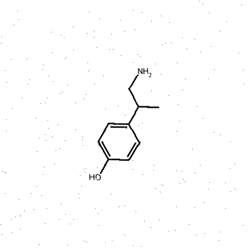 C[C](CN)c1ccc(O)cc1